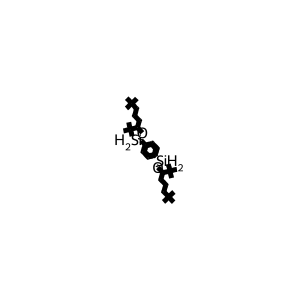 CC(C)(C)CCCC(O[SiH2]c1ccc([SiH2]OC(CCCC(C)(C)C)C(C)(C)C)cc1)C(C)(C)C